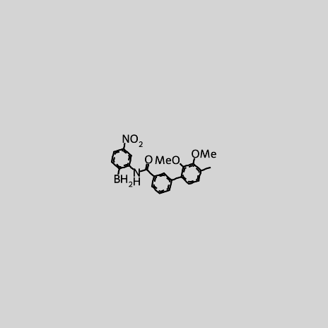 Bc1ccc([N+](=O)[O-])cc1NC(=O)c1cccc(-c2ccc(C)c(OC)c2OC)c1